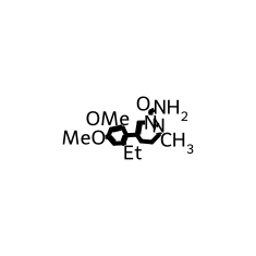 CCc1cc(OC)cc(OC)c1C1=CN(C(N)=O)N=C(C)CC1